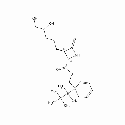 CC(C)(C)[Si](C)(C)C1(COC(=O)[C@H]2NC(=O)[C@@H]2CCCC(O)CO)C=CC=CC1